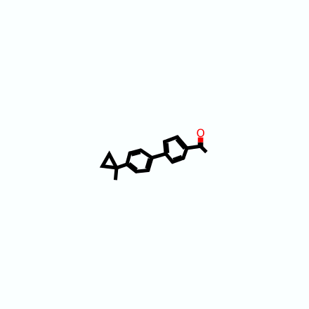 CC(=O)c1ccc(-c2ccc(C3(C)CC3)cc2)cc1